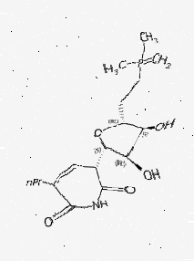 C=P(C)(C)CC[C@H]1O[C@@H](C2C=C(CCC)C(=O)NC2=O)[C@H](O)[C@@H]1O